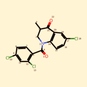 CC1CN(C(=O)c2ccc(Cl)cc2Cl)c2ccc(Cl)cc2C1=O